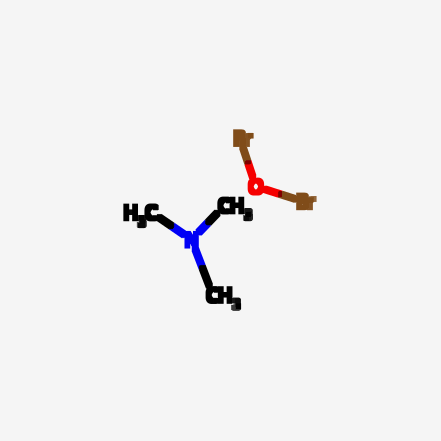 BrOBr.CN(C)C